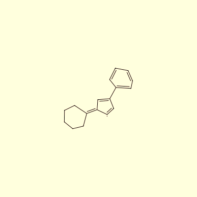 [C]1=CC(c2ccccc2)=CC1=C1CCCCC1